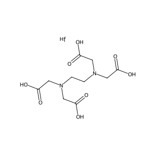 O=C(O)CN(CCN(CC(=O)O)CC(=O)O)CC(=O)O.[Hf]